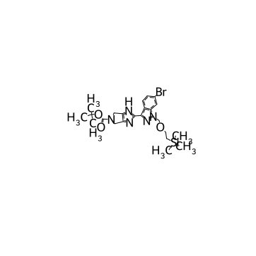 CC(C)(C)OC(=O)N1Cc2nc(-c3nn(COCC[Si](C)(C)C)c4cc(Br)ccc34)[nH]c2C1